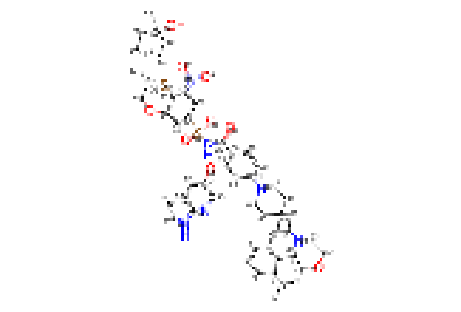 CC(C)c1ccccc1[C@@H]1COCCN1C1CC2(CCN(c3ccc(C(=O)NS(=O)(=O)c4cc5c(c([N+](=O)[O-])c4)S[C@@H](C[C@H]4CC[C@](C)(O)CC4)CO5)c(Oc4cnc5[nH]ccc5c4)c3)CC2)C1